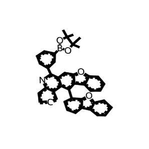 CC1(C)OB(c2cccc(-c3nc4ccccc4c4c(-c5cccc6c5oc5ccccc56)c5c(cc34)oc3ccccc35)c2)OC1(C)C